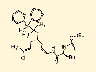 C/C(Cl)=C\C[C@@H](C/C=C\NC(=O)[C@@H](NC(=O)OC(C)(C)C)C(C)(C)C)CC(C)(C)[Si](O)(c1ccccc1)c1ccccc1